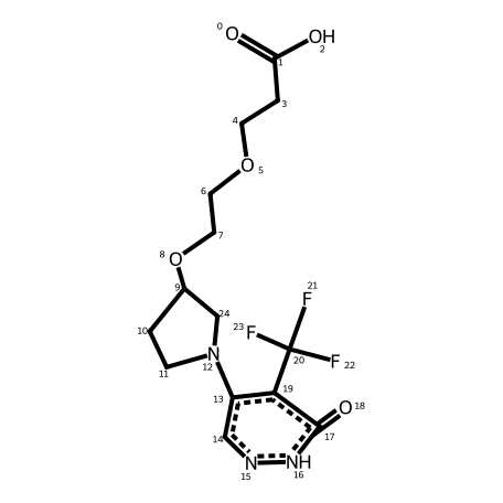 O=C(O)CCOCCOC1CCN(c2cn[nH]c(=O)c2C(F)(F)F)C1